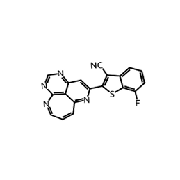 N#Cc1c(-c2cc3ncnc4c3c(n2)C=CC=N4)sc2c(F)cccc12